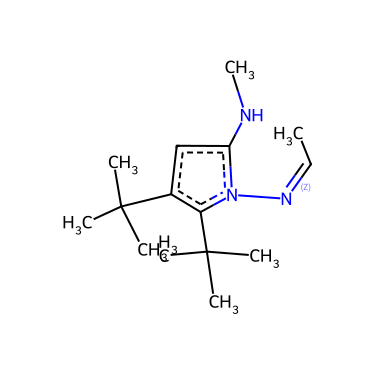 C/C=N\n1c(NC)cc(C(C)(C)C)c1C(C)(C)C